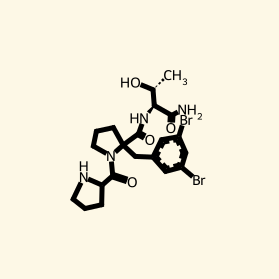 C[C@@H](O)[C@H](NC(=O)C1(Cc2cc(Br)cc(Br)c2)CCCN1C(=O)C1CCCN1)C(N)=O